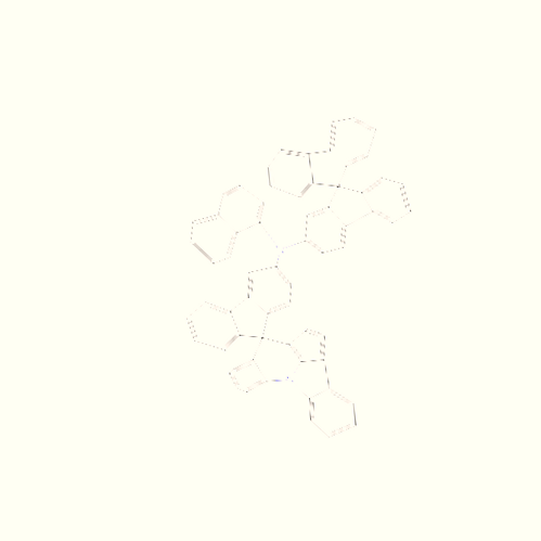 c1ccc2c(c1)-c1ccccc1C21c2ccccc2-c2ccc(N(c3ccc4c(c3)-c3ccccc3C43c4ccccc4-n4c5ccccc5c5cccc3c54)c3cccc4ccccc34)cc21